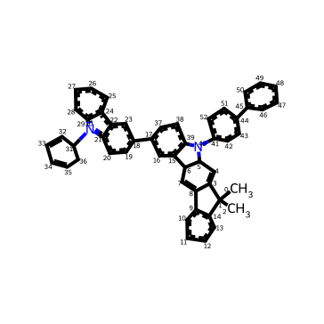 CC1(C)C2=CC3C(C=C2c2ccccc21)c1cc(-c2ccc4c(c2)c2ccccc2n4C2C=CC=CC2)ccc1N3c1ccc(-c2ccccc2)cc1